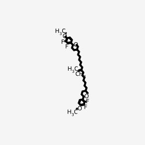 CCOc1ccc(C2CCC(CCCCCCCC(CCCCCCCC3CCC(c4ccc(OCC)c(F)c4F)OC3)=C(C)C)CO2)c(F)c1F